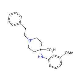 COc1cccc(NC2(C(=O)O)CCN(CCc3ccccc3)CC2)c1